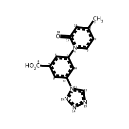 Cc1ccn(-c2cc(C(=O)O)cc(-n3cnnn3)c2)c(=O)c1